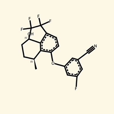 C[C@H]1CC[C@]2(O)c3c(ccc(Oc4cc(F)cc(C#N)c4)c31)C(F)(F)C2(F)F